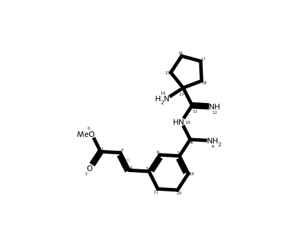 COC(=O)/C=C/C1=CC(C(N)NC(=N)C2(N)CCCC2)=CCC1